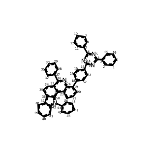 c1ccc(-c2nc(-c3ccccc3)nc(-c3ccc(-c4cccc5c4nc(-c4ccccc4)c4ccc6c7ccccc7n(-c7ccccc7)c6c45)cc3)n2)cc1